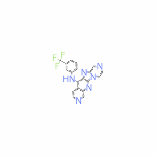 FC(F)(F)c1cccc(Nc2c3ccncc3nc3c2nc2cnccn23)c1